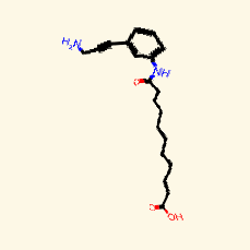 NCC#Cc1cccc(NC(=O)CCCCCCCCCC(=O)O)c1